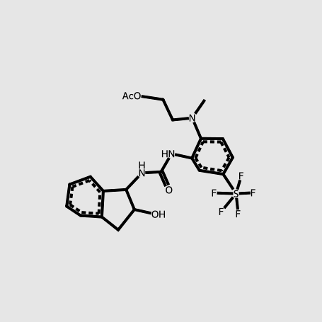 CC(=O)OCCN(C)c1ccc(S(F)(F)(F)(F)F)cc1NC(=O)NC1c2ccccc2CC1O